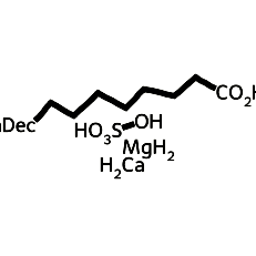 CCCCCCCCCCCCCCCCCC(=O)O.O=S(=O)(O)O.[CaH2].[MgH2]